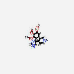 COc1ccc(C2(c3ccncc3)C=NC=N2)c(OC)c1OC